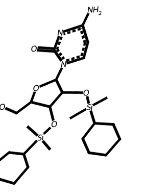 C[Si](C)(OC1C(CO)OC(n2ccc(N)nc2=O)C1O[Si](C)(C)C1CCCCC1)C1CCCCC1